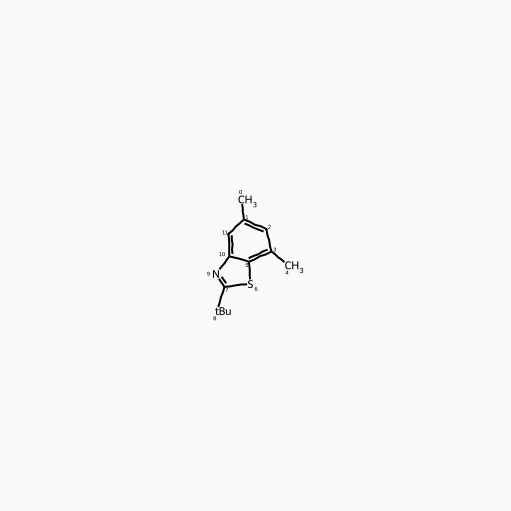 Cc1cc(C)c2sc(C(C)(C)C)nc2c1